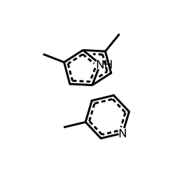 Cc1cc2cc(C)c1[nH]2.Cc1cccnc1